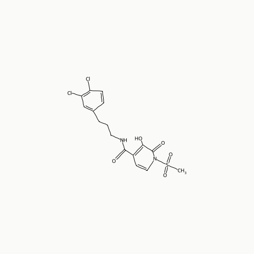 CS(=O)(=O)n1ccc(C(=O)NCCCc2ccc(Cl)c(Cl)c2)c(O)c1=O